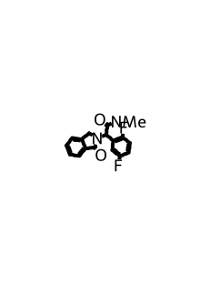 CNC(=O)C(c1cc(F)ccc1F)N1Cc2ccccc2C1=O